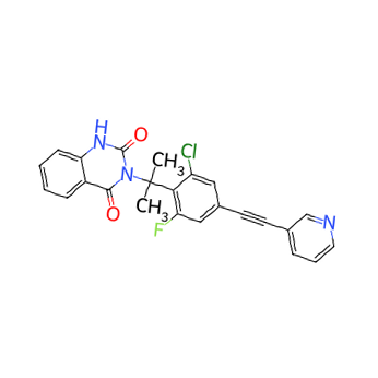 CC(C)(c1c(F)cc(C#Cc2cccnc2)cc1Cl)n1c(=O)[nH]c2ccccc2c1=O